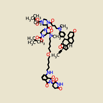 CC#C[C@]12CC[C@H]3[C@@H]4CCC5=CC(=O)CCC5=C4[C@@H](c4ccc(N(C)CCCC(=O)N5CCN(C(=O)OC(C)(C)C)CC5C(=O)N5CCN(C(=O)OC(C)(C)C)CC5C(=O)N(C)CCCCCCOCCCCCCNc5cccc6c5C(O)N(C5CCC(=O)NC5=O)C6=O)cc4)C[C@@]31CO2